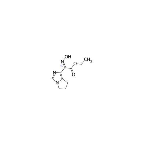 CCOC(=O)/C(=N\O)c1ncn2c1CCC2